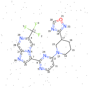 FC(F)(F)c1cn2c(-c3nccc(N4CCCC(c5ncon5)C4)n3)cnc2cn1